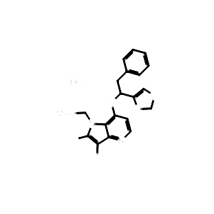 COCn1c(C)c(C)c2nccc(OC(Cc3ccccc3)C3=COCO3)c21.Cl